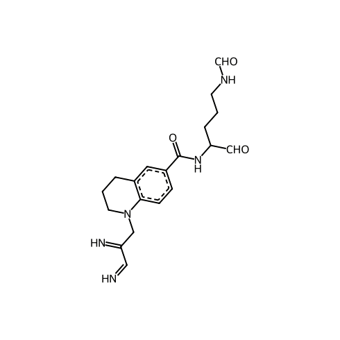 N=CC(=N)CN1CCCc2cc(C(=O)NC(C=O)CCCNC=O)ccc21